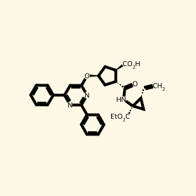 C=C[C@@H]1C[C@]1(NC(=O)[C@@H]1C[C@@H](Oc2cc(-c3ccccc3)nc(-c3ccccc3)n2)C[C@H]1C(=O)O)C(=O)OCC